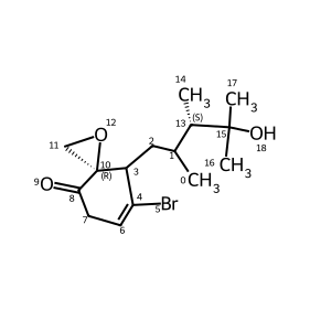 CC(CC1C(Br)=CCC(=O)[C@]12CO2)[C@H](C)C(C)(C)O